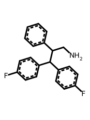 NCC(c1ccccc1)C(c1ccc(F)cc1)c1ccc(F)cc1